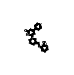 O=c1cc(-c2ccccc2)cc(N2CCCC(COc3cccnc3C(F)(F)F)C2)[nH]1